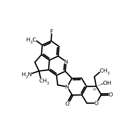 CC[C@@]1(O)C(=O)OCc2c1cc1n(c2=O)Cc2c-1nc1cc(F)c(C)c3c1c2C(C)(N)C3